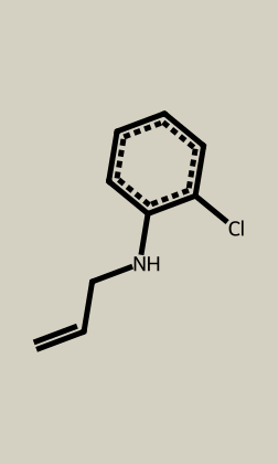 C=CCNc1ccccc1Cl